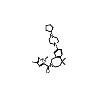 Cc1cc(C(=O)N2CCC(C)(C)c3ccc(N4CCN(C5CCCC5)CC4)cc3C2)n(C)n1